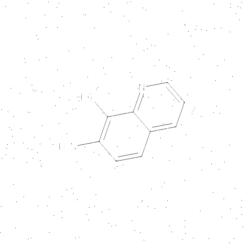 Cc1c(N)ccc2cccnc12